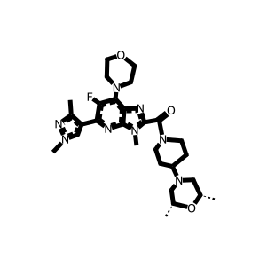 Cc1nn(C)cc1-c1nc2c(nc(C(=O)N3CCC(N4C[C@@H](C)O[C@@H](C)C4)CC3)n2C)c(N2CCOCC2)c1F